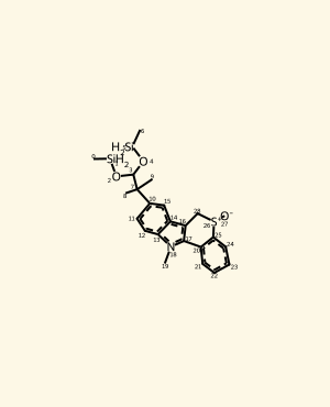 C[SiH2]OC(O[SiH2]C)C(C)(C)c1ccc2c(c1)c1c(n2C)-c2ccccc2[S+]([O-])C1